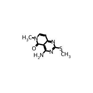 CSc1nc(N)c2c(=O)n(C)ccc2n1